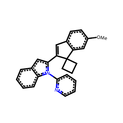 COc1ccc2c(c1)C1(CCC1)C(c1cc3ccccc3n1-c1ccccn1)=C2